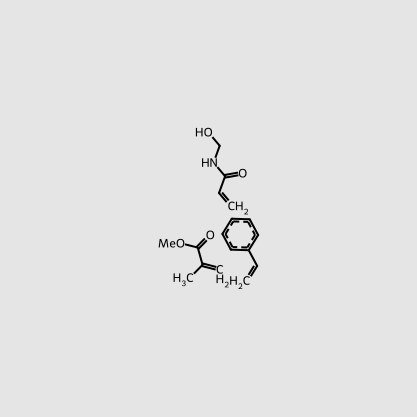 C=C(C)C(=O)OC.C=CC(=O)NCO.C=Cc1ccccc1